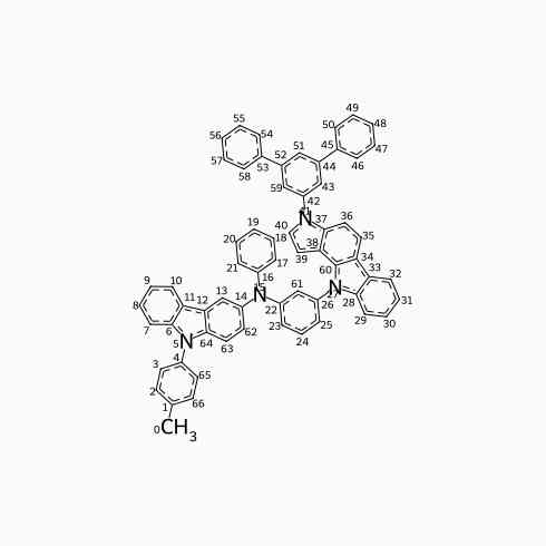 Cc1ccc(-n2c3ccccc3c3cc(N(c4ccccc4)c4cccc(-n5c6ccccc6c6ccc7c(ccn7-c7cc(-c8ccccc8)cc(-c8ccccc8)c7)c65)c4)ccc32)cc1